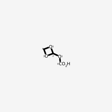 O=C(O)OC1OCO1